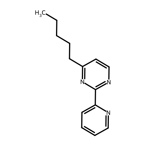 CCCCCc1ccnc(-c2ccccn2)n1